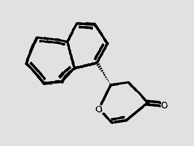 O=C1C=CO[C@H](c2cccc3ccccc23)C1